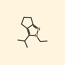 CCn1nc2c(c1C(C)C)CCC2